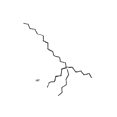 CCCCCCCCCCCCCC[P+](CCCCCC)(CCCCCC)CCCCCC.[OH-]